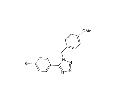 COc1ccc(Cn2nnnc2-c2ccc(Br)cc2)cc1